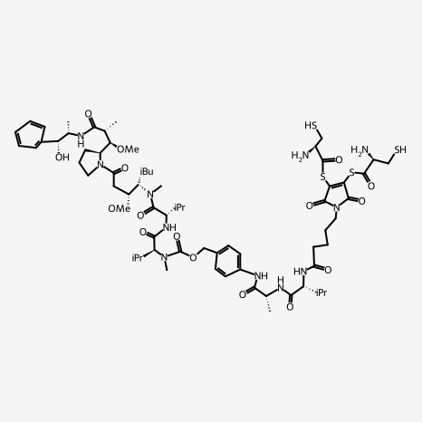 CC[C@@H](C)[C@@H]([C@@H](CC(=O)N1CCC[C@H]1[C@H](OC)[C@@H](C)C(=O)N[C@@H](C)[C@H](O)c1ccccc1)OC)N(C)C(=O)[C@@H](NC(=O)[C@H](C(C)C)N(C)C(=O)OCc1ccc(NC(=O)[C@@H](C)NC(=O)[C@H](NC(=O)CCCCN2C(=O)C(SC(=O)[C@@H](N)CS)=C(SC(=O)[C@@H](N)CS)C2=O)C(C)C)cc1)C(C)C